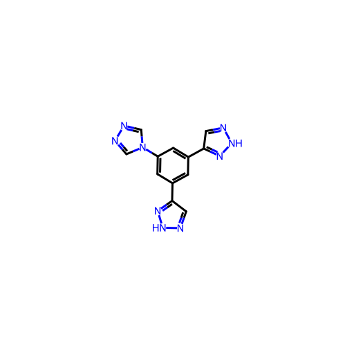 c1c(-c2cn[nH]n2)cc(-n2cnnc2)cc1-c1cn[nH]n1